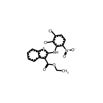 CCOC(=O)c1c(Nc2c([N+](=O)[O-])ccc(Cl)c2Cl)sc2ccccc12